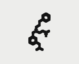 CC(C)Cc1cccc(CN(CCCc2ccccc2)CCN(C)C)c1